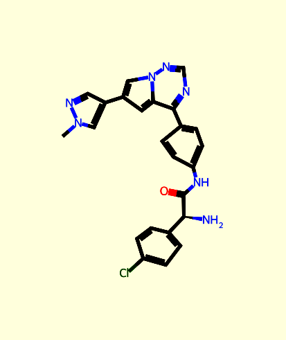 Cn1cc(-c2cc3c(-c4ccc(NC(=O)[C@@H](N)c5ccc(Cl)cc5)cc4)ncnn3c2)cn1